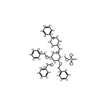 CS(=O)(=O)OC[C@@H]1[C@@H](OCc2ccccc2)[C@H](OCc2ccccc2)[C@@H](OCc2ccccc2)CN1CC1CCN(c2ccccc2)CC1